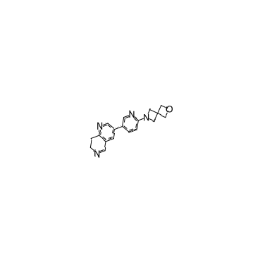 C1=NCCc2ncc(-c3ccc(N4CC5(COC5)C4)nc3)cc21